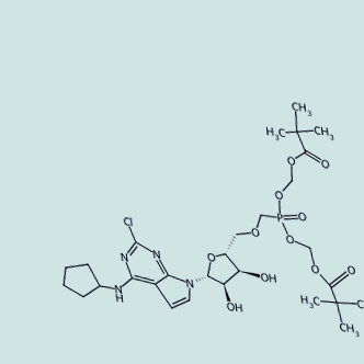 CC(C)(C)C(=O)OCOP(=O)(COC[C@H]1O[C@@H](n2ccc3c(NC4CCCC4)nc(Cl)nc32)[C@H](O)[C@@H]1O)OCOC(=O)C(C)(C)C